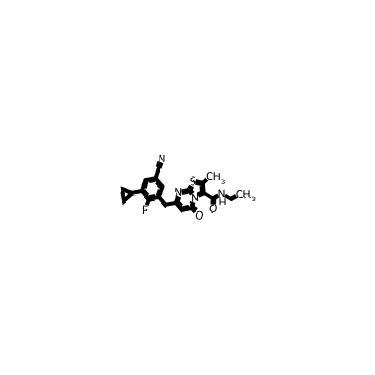 CCNC(=O)c1c(C)sc2nc(Cc3cc(C#N)cc(C4CC4)c3F)cc(=O)n12